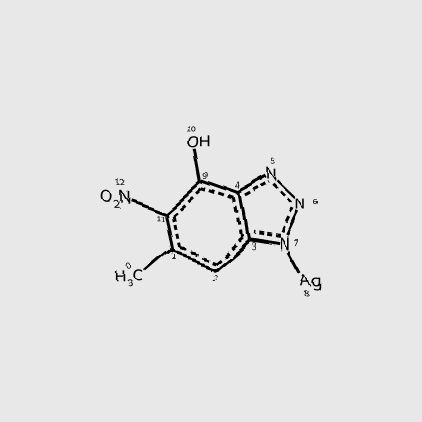 Cc1cc2c(nn[n]2[Ag])c(O)c1[N+](=O)[O-]